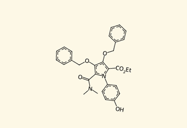 CCOC(=O)c1c(OCc2ccccc2)c(OCc2ccccc2)c(C(=O)N(C)C)n1-c1ccc(O)cc1